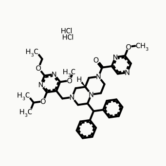 CCOc1nc(OC)c(CN2CC(C(c3ccccc3)c3ccccc3)N3CCN(C(=O)c4cncc(OC)n4)C[C@H]3C2)c(OC(C)C)n1.Cl.Cl